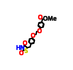 COC(=O)c1ccc(OCCOc2ccc(CC3SC(=O)NC3=O)cc2)cc1